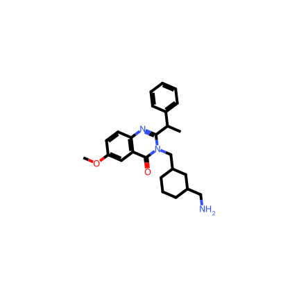 COc1ccc2nc(C(C)c3ccccc3)n(CC3CCCC(CN)C3)c(=O)c2c1